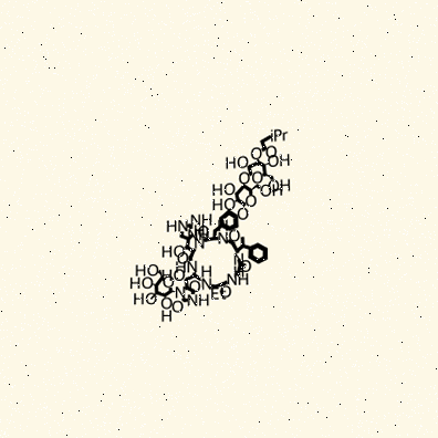 CCC1NC(=O)C(C(O)C2CNC(=O)N2[C@H]2O[C@H](CO)[C@@H](O)[C@H](O)[C@@H]2O)NC(=O)C(C(O)C2CNC(=N)N2)NC(=O)C(Cc2ccc(O[C@H]3O[C@H](CO)[C@@H](O[C@H]4O[C@H](CO)[C@@H](O)[C@H](OC(=O)CC(C)C)[C@@H]4O)[C@H](O)[C@@H]3O)cc2)NC(=O)C(C(C)c2ccccc2)NC(=O)CNC1=O